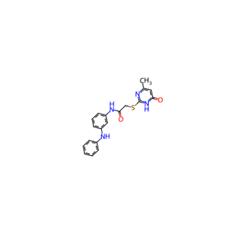 Cc1cc(=O)[nH]c(SCC(=O)Nc2cccc(Nc3ccccc3)c2)n1